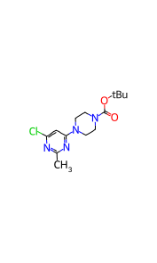 Cc1nc(Cl)cc(N2CCN(C(=O)OC(C)(C)C)CC2)n1